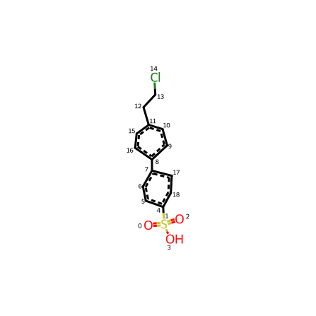 O=S(=O)(O)c1ccc(-c2ccc(CCCl)cc2)cc1